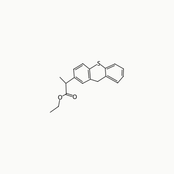 CCOC(=O)C(C)c1ccc2c(c1)Cc1ccccc1S2